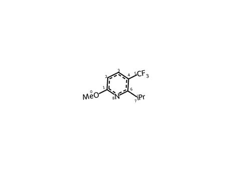 COc1ccc(C(F)(F)F)c(C(C)C)n1